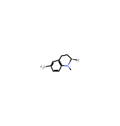 CC[C@@H]1CCc2cc(C(F)(F)F)ccc2N1C